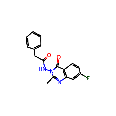 Cc1nc2cc(F)ccc2c(=O)n1NC(=O)Cc1ccccc1